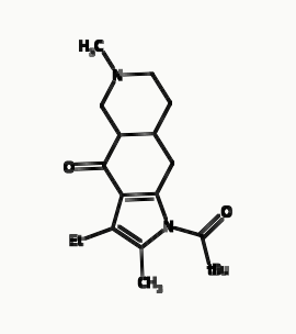 CCc1c2c(n(C(=O)C(C)(C)C)c1C)CC1CCN(C)CC1C2=O